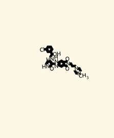 CN1CCN(CCCN2C(=O)c3cc4nc(-c5c(NC[C@@H](O)c6cccc(Cl)c6)cc[nH]c5=O)[nH]c4cc3C2=O)CC1